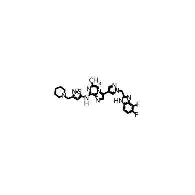 Cc1cn2c(-c3cnn(Cc4nc5c(F)c(F)ccc5[nH]4)c3)cnc2c(Nc2cc(CN3CCCCC3)ns2)n1